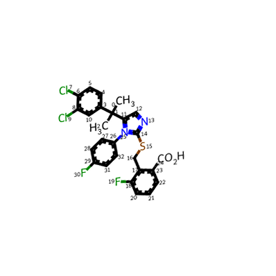 CC(C)(c1ccc(Cl)c(Cl)c1)c1cnc(SCc2c(F)cccc2C(=O)O)n1-c1ccc(F)cc1